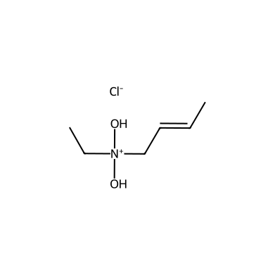 CC=CC[N+](O)(O)CC.[Cl-]